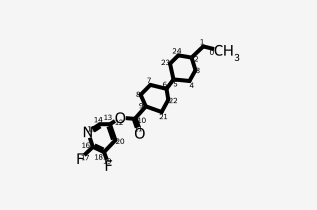 CCC1CCC(C2CCC(C(=O)Oc3cnc(F)c(F)c3)CC2)CC1